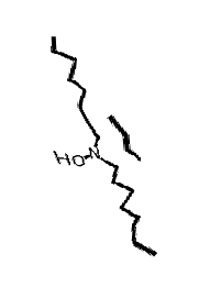 CCCC.CCCCCCCN(O)CCCCCCC